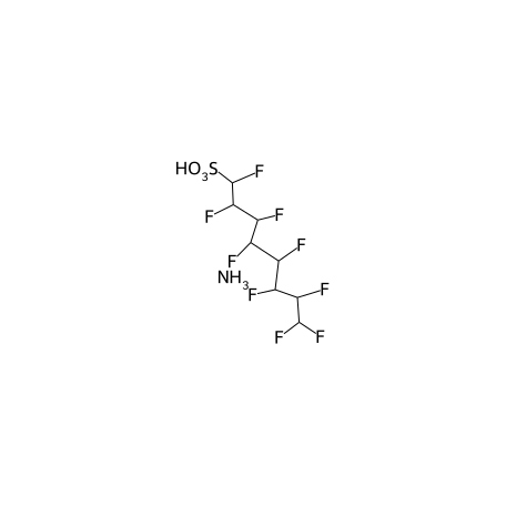 N.O=S(=O)(O)C(F)C(F)C(F)C(F)C(F)C(F)C(F)C(F)F